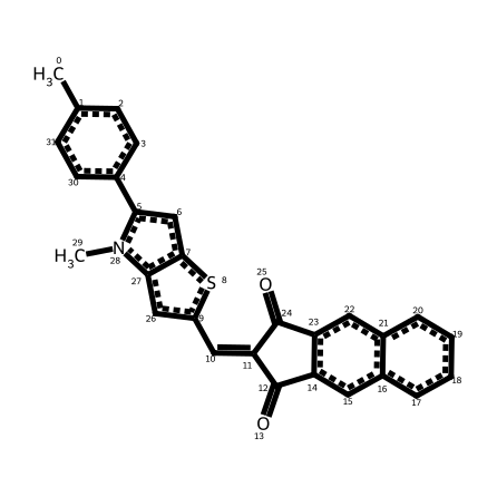 Cc1ccc(-c2cc3sc(C=C4C(=O)c5cc6ccccc6cc5C4=O)cc3n2C)cc1